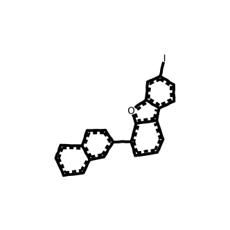 Ic1ccc2c(c1)oc1c(-c3ccc4ccccc4c3)cccc12